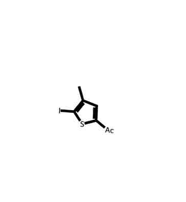 CC(=O)c1cc(C)c(I)s1